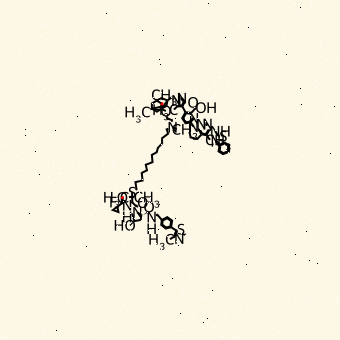 Cc1ncsc1-c1ccc(CNC(=O)[C@@H]2C[C@@H](O)CN2C(=O)[C@@H](NC(=O)C2(F)CC2)C(C)(C)SCCCCCCCCCCCCCCN(C)CCOC23CC4(C)CC(C)(CC(Cn5ncc(-c6ccc(N7CCCc8c7nnc(Nc7nc9ccccc9s7)c8C)nc6C(=O)O)c5C)(C4)C2)C3)cc1